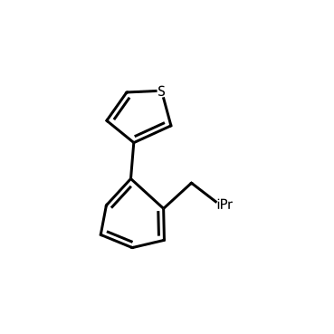 CC(C)Cc1ccccc1-c1ccsc1